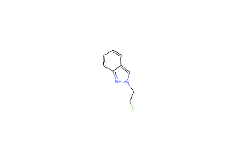 FCCn1cc2ccccc2n1